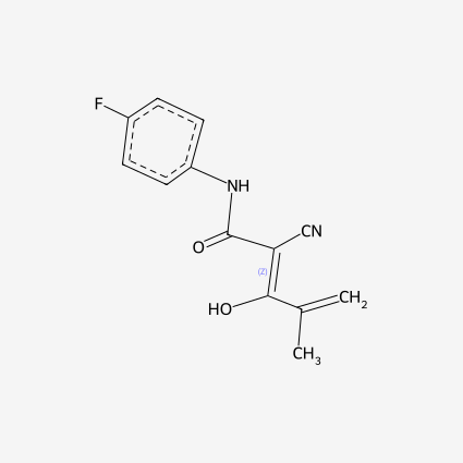 C=C(C)/C(O)=C(\C#N)C(=O)Nc1ccc(F)cc1